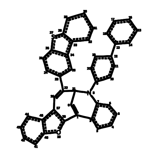 C1=C2c3ccccc3N(c3ccc(-c4ccccc4)cc3)C1C(c1ccc3sc4ccccc4c3c1)=Cc1c2oc2ccccc12